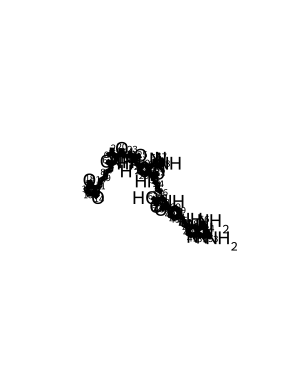 CC(C)C(NC(=O)CCCCCN1C(=O)C=CC1=O)C(=O)N[C@@H](C)C(=O)Nc1ccc(C(=O)NCCC[C@H](NC(=O)c2ccc(NCc3cnc4nc(N)nc(N)c4n3)cc2)C(=O)O)c(-c2nn[nH]n2)c1